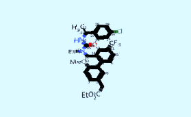 CCOC(=O)Cc1ccc(OC)c(-c2ccc(C(F)(F)F)cc2CN(CC)C(=O)N[C@@H](C)c2ccc(Cl)cc2)c1